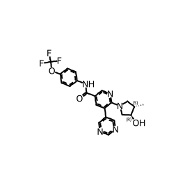 C[C@H]1CN(c2ncc(C(=O)Nc3ccc(OC(F)(F)F)cc3)cc2-c2cncnc2)C[C@@H]1O